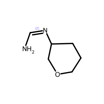 N/C=N\C1CCCOC1